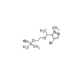 CC(OCCO[Si](C)(C)C(C)(C)C)c1c(Br)cnn1C